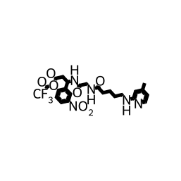 Cc1ccnc(NCCCCC(=O)NCC(=O)NC(CC(=O)OC(=O)C(F)(F)F)c2cccc([N+](=O)[O-])c2)c1